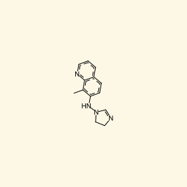 Cc1c(NN2C=NCC2)ccc2cccnc12